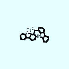 C[C](c1cccc2c1[nH]c1ccccc12)c1cccc2c1[nH]c1ccccc12